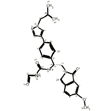 COc1ccc2c(c1)C(=O)N(C[C@H](NC(=O)NC=O)c1ccc(-c3cnn(CC(C)C)c3)cc1)C2